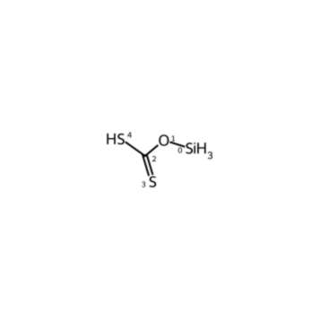 [SiH3]OC(=S)S